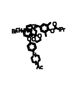 CC(=O)N1CCN(c2ccc(OCC3NC=C[N+]3(Cc3cc(C)c(OC(=O)C(C)C)c(C)c3)CC3(c4ccc(Cl)cc4Cl)OCCO3)cc2)CC1.[Br-]